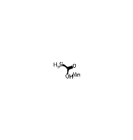 O=C(O)[SiH3].[Mn]